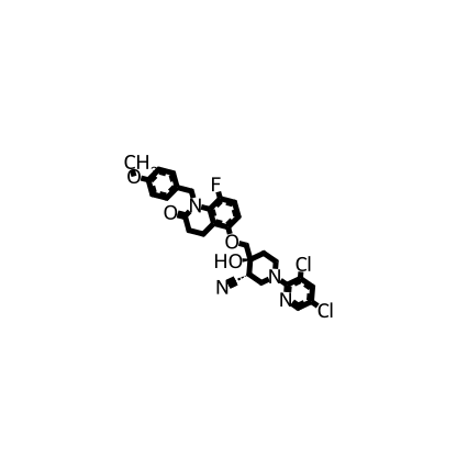 COc1ccc(CN2C(=O)CCc3c(OC[C@]4(O)CCN(c5ncc(Cl)cc5Cl)C[C@@H]4C#N)ccc(F)c32)cc1